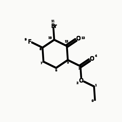 CCOC(=O)C1CCC(F)C(Br)C1=O